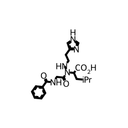 CC(C)CC(C(=O)O)N(NCCc1c[nH]cn1)C(=O)CNC(=O)c1ccccc1